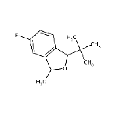 CC1OC(C(C)(C)C)c2ccc(F)cc21